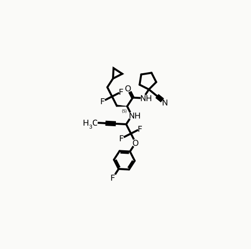 CC#CC(N[C@@H](CC(F)(F)CC1CC1)C(=O)NC1(C#N)CCCC1)C(F)(F)Oc1ccc(F)cc1